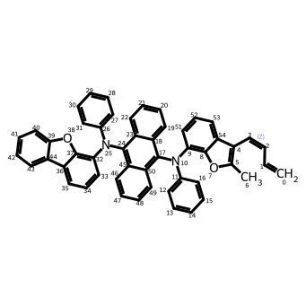 C=C/C=C\c1c(C)oc2c(N(c3ccccc3)c3c4ccccc4c(N(c4ccccc4)c4cccc5c4oc4ccccc45)c4ccccc34)cccc12